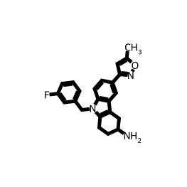 Cc1cc(-c2ccc3c(c2)c2c(n3Cc3cccc(F)c3)CCC(N)C2)no1